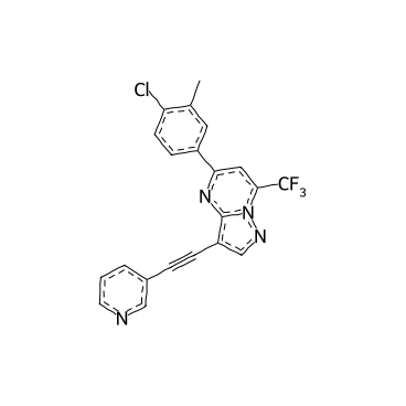 Cc1cc(-c2cc(C(F)(F)F)n3ncc(C#Cc4cccnc4)c3n2)ccc1Cl